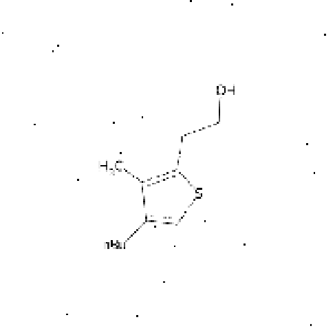 CCCCc1csc(CCO)c1C